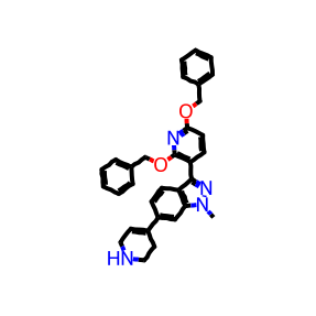 Cn1nc(-c2ccc(OCc3ccccc3)nc2OCc2ccccc2)c2ccc(C3=CCNCC3)cc21